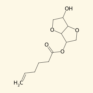 C=CCCCC(=O)OC1COC2C(O)COC12